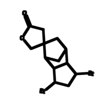 CCC1CC(CC)C2C1C1CC2C2(COC(=O)C2)C1